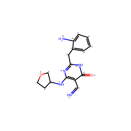 N=Cc1c(NC2CCOC2)nc(Cc2ccccc2N)[nH]c1=O